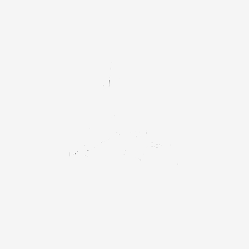 CC1(C(=O)O)CC(OC2CC2)C[N+]1(Cc1ccccc1)C(=O)O